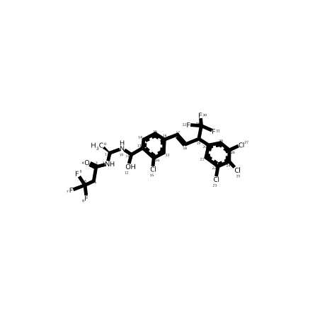 C[C@H](NC(=O)CC(F)(F)F)NC(O)c1ccc(/C=C/C(c2cc(Cl)c(Cl)c(Cl)c2)C(F)(F)F)cc1Cl